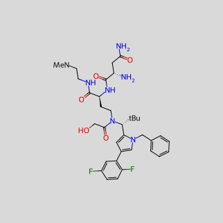 CNCCNC(=O)[C@H](CCN(C(=O)CO)[C@@H](c1cc(-c2cc(F)ccc2F)cn1Cc1ccccc1)C(C)(C)C)NC(=O)[C@@H](N)CC(N)=O